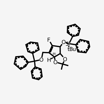 CC1(C)OC2C(O[Si](c3ccccc3)(c3ccccc3)C(C)(C)C)C(F)=C(COC(c3ccccc3)(c3ccccc3)c3ccccc3)[C@H]2O1